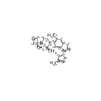 Cc1cc2cnn(-c3cnn(C)c3)c2cc1[C@H]1CCN(C2(C)COC2)C[C@@H]1C